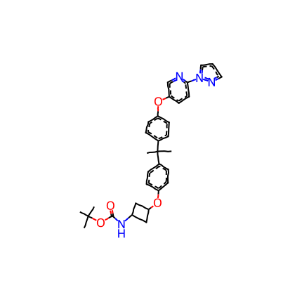 CC(C)(C)OC(=O)NC1CC(Oc2ccc(C(C)(C)c3ccc(Oc4ccc(-n5cccn5)nc4)cc3)cc2)C1